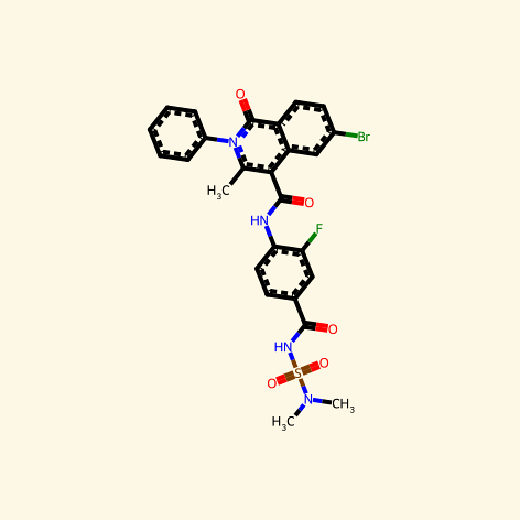 Cc1c(C(=O)Nc2ccc(C(=O)NS(=O)(=O)N(C)C)cc2F)c2cc(Br)ccc2c(=O)n1-c1ccccc1